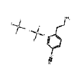 F[B-](F)(F)F.F[B-](F)(F)F.N#[N+]c1ccc(CCN)cc1